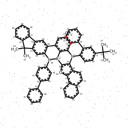 Cc1cc2c3c(c1)N(c1ccc(C(C)(C)C)cc1-c1ccccc1)c1c(oc4c1ccc1ccccc14)B3N(c1ccc(-c3ccccc3)cc1)c1cc3c(cc1-2)-c1ccccc1C3(C)C